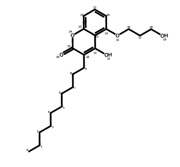 CCCCCCCCCCc1c(O)c2c(OCCCO)cccc2oc1=O